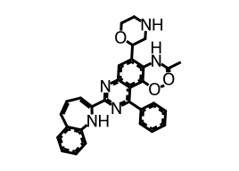 COc1c(NC(C)=O)c(C2CNCCO2)cc2nc(C3=CC=Cc4ccccc4N3)nc(-c3ccccc3)c12